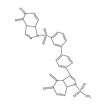 CS(=O)(=O)N1C=C(c2ccc(-c3cccc(S(=O)(=O)N4N=CC5C(=O)C(=O)C=CC54)c3)cc2)C2C(=O)C(=O)C=CC21